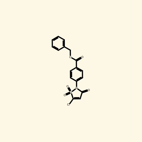 O=C(OCc1ccccc1)c1ccc(N2C(=O)C=C(Cl)S2(=O)=O)cc1